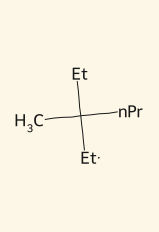 C[CH]C(C)(CC)CCC